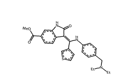 CCN(CC)Cc1ccc(N/C(=C2\C(=O)Nc3cc(C(=O)OC)ccc32)c2ccsc2)cc1